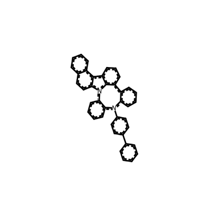 c1ccc(-c2ccc(-n3c4ccccc4c4cccc5c6c7ccccc7ccc6n(c6ccccc63)c45)cc2)cc1